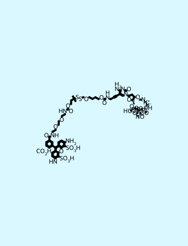 CC(C)(CCOC(=O)NCCOCCOCCNC(=O)c1ccc(C(=O)O)c(-c2c3ccc(=N)c(S(=O)(=O)O)c-3oc3c(S(=O)(=O)O)c(N)ccc23)c1)SSCOCCCCOC(=O)NCC#Cc1cn([C@H]2C[C@@H](OCN=[N+]=[N-])[C@@H](COP(=O)(O)OP(=O)(N=O)OP(=O)(O)O)O2)c(=O)nc1N